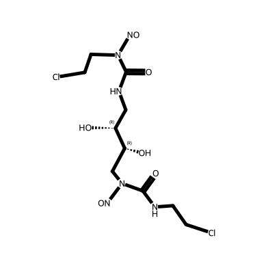 O=NN(CCCl)C(=O)NC[C@@H](O)[C@H](O)CN(N=O)C(=O)NCCCl